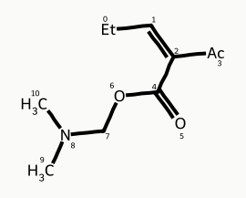 CCC=C(C(C)=O)C(=O)OCN(C)C